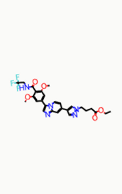 CCOC(=O)CCCn1cc(-c2ccn3c(-c4cc(OC)c(C(=O)NCC(F)(F)F)c(OC)c4)cnc3c2)cn1